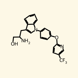 NC(CO)Cc1cn(-c2ccc(Oc3ccc(C(F)(F)F)cn3)cc2)c2ccccc12